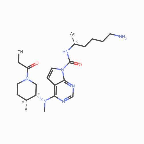 CC(=O)[C@H](CCCCN)NC(=O)n1ccc2c(N(C)[C@H]3CN(C(=O)CC#N)CC[C@H]3C)ncnc21